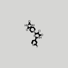 O=C1NC(=O)C2(CCN(c3nc(-c4ccnc(F)c4)[nH]c(=O)c3Cl)CC2)N1